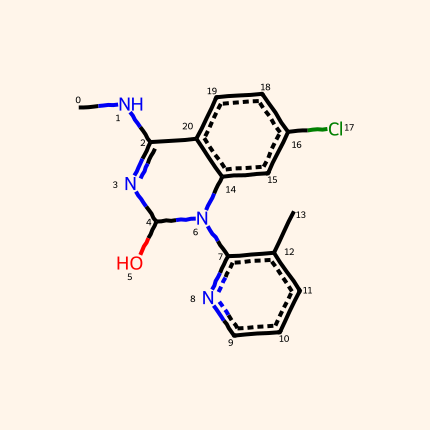 CNC1=NC(O)N(c2ncccc2C)c2cc(Cl)ccc21